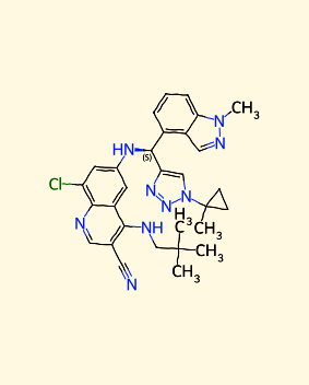 Cn1ncc2c([C@H](Nc3cc(Cl)c4ncc(C#N)c(NCC(C)(C)C)c4c3)c3cn(C4(C)CC4)nn3)cccc21